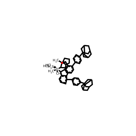 CC1=Cc2c(-c3ccc(C45CC6CC(CC(C6)C4)C5)cc3)cccc2[CH]1[Zr]([CH3])([CH3])(=[SiH2])[CH]1C(C2CCCC2)=Cc2c(-c3ccc(C45CC6CC(CC(C6)C4)C5)cc3)cccc21.Cl.Cl